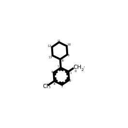 [CH2]c1ccc(Cl)cc1C1CCCCC1